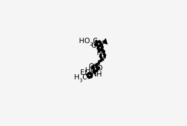 CCc1cc(Nc2cc(=O)n(CCCCN3CCN(Cc4cc5c(cc4F)c(=O)c(C(=O)O)cn5C4CC4)CC3)c(=O)[nH]2)ccc1C